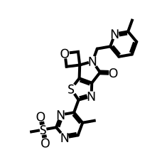 Cc1cccc(CN2C(=O)c3nc(-c4nc(S(C)(=O)=O)ncc4C)sc3C23COC3)n1